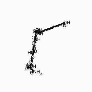 NC(=O)CC[C@H](NC(=O)COCCOCCNC(=O)COCCOCCNC(=O)CC[C@H](NC(=O)CCCCCCCCCCCCCCCCC(=O)O)C(=O)O)C(=O)O